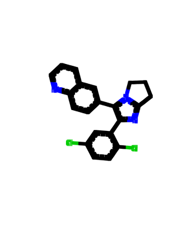 Clc1ccc(Cl)c(-c2nc3n(c2-c2ccc4ncccc4c2)CCC3)c1